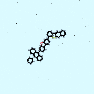 c1ccc(-c2c3ccccc3c(-c3ccc4c(c3)oc3cc(-c5cccc6c5sc5cc7ccccc7cc56)ccc34)c3ccccc23)cc1